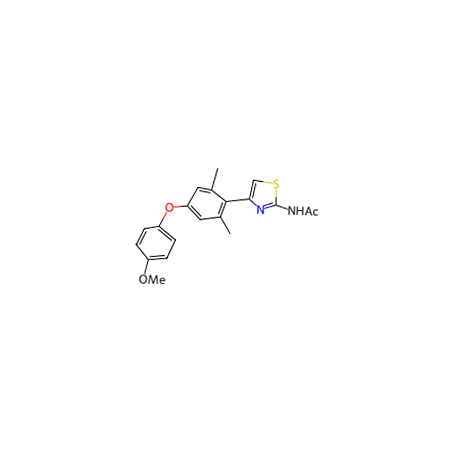 COc1ccc(Oc2cc(C)c(-c3csc(NC(C)=O)n3)c(C)c2)cc1